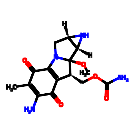 CO[C@@]12[C@H](COC(N)=O)C3=C(C(=O)C(C)=C(N)C3=O)N1C[C@H]1N[C@H]12